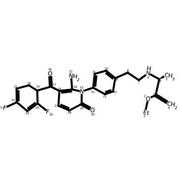 C=C(OCC)[C@H](C)NCCc1ccc(-n2c(N)c(C(=O)C3CC=C(F)C=C3F)ccc2=O)cc1